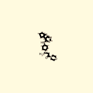 CN(CC(=O)N1CCOCC1)[C@H]1CC[C@H](Nc2ncnc3sc4c(c23)CCC4)CC1